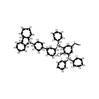 CCc1cc(N(c2ccccc2)c2ccccc2)c(Cl)c(N(c2ccccc2)c2cccc(-c3ccc(-n4c5ccccc5c5ccccc54)cc3)c2)c1